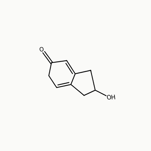 O=C1C=C2CC(O)CC2=CC1